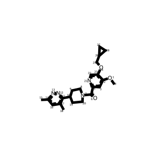 COc1cc(C(=O)N2CCC(c3nnc(C)cc3C)CC2)ncc1OCC1CC1